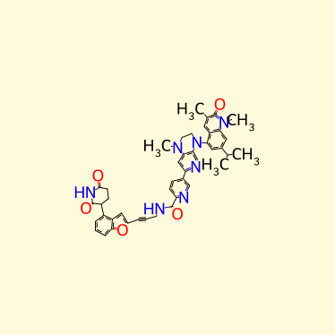 Cc1cc2c(N3CCN(C)c4cc(-c5ccc(C(=O)NCC#Cc6cc7c(C8CCC(=O)NC8=O)cccc7o6)nc5)ncc43)cc(C(C)C)cc2n(C)c1=O